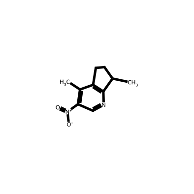 Cc1c([N+](=O)[O-])cnc2c1CCC2C